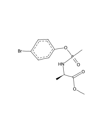 COC(=O)[C@@H](C)NP(C)(=O)Oc1ccc(Br)cc1